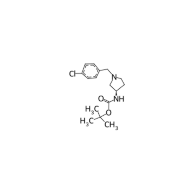 CC(C)(C)OC(=O)N[C@@H]1CCN(Cc2ccc(Cl)cc2)C1